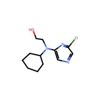 OCCN(c1cncc(Cl)n1)C1CCCCC1